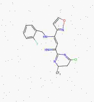 N=C(/C=C(\NCc1ccccc1F)c1ccon1)C1=NC(C(F)(F)F)CC(Cl)=N1